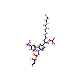 C=CC(=O)OC(=O)Cn1c2ccc(/C(CCCCCCCCCCC)=N/OC(C)=O)cc2c2cc([N+](=O)[O-])ccc21